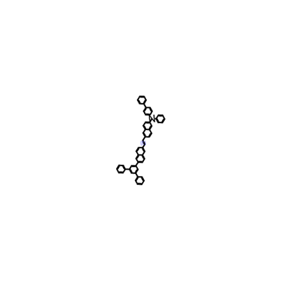 C(=C\c1ccc2cc(N(c3ccccc3)c3ccc(-c4ccccc4)cc3)ccc2c1)/c1ccc2cc(-c3cc(-c4ccccc4)cc(-c4ccccc4)c3)ccc2c1